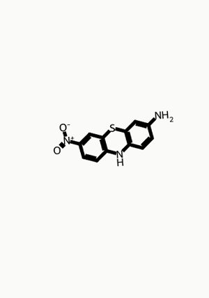 Nc1ccc2c(c1)Sc1cc([N+](=O)[O-])ccc1N2